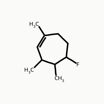 CC1=CC(C)C(C)C(F)CC1